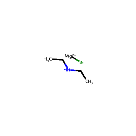 CCNCC.[Mg+2][Br]